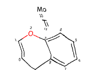 C1=COc2ccccc2C1.[Mo].[Ti]